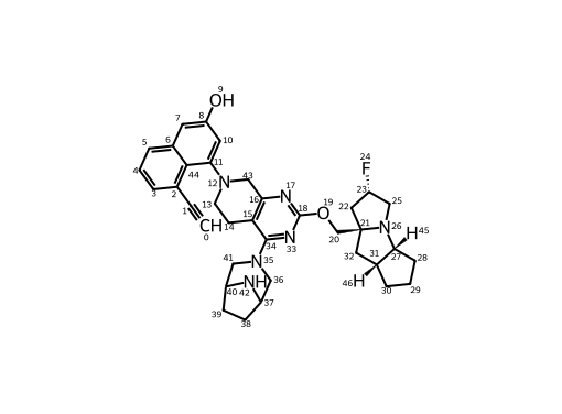 C#Cc1cccc2cc(O)cc(N3CCc4c(nc(OC[C@@]56C[C@H](F)CN5[C@@H]5CCC[C@@H]5C6)nc4N4CC5CCC(C4)N5)C3)c12